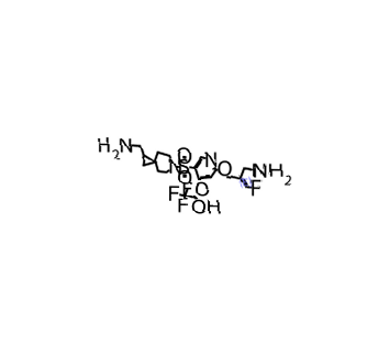 NC/C(=C\F)COc1ccc(S(=O)(=O)N2CCC3(CC2)CC3CN)cn1.O=C(O)C(F)(F)F